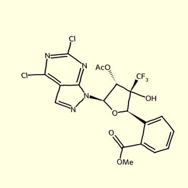 COC(=O)c1ccccc1[C@H]1O[C@@H](n2ncc3c(Cl)nc(Cl)nc32)[C@H](OC(C)=O)[C@@]1(O)C(F)(F)F